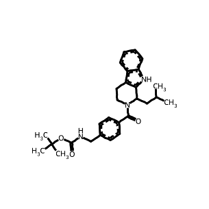 CC(C)CC1c2[nH]c3ccccc3c2CCN1C(=O)c1ccc(CNC(=O)OC(C)(C)C)cc1